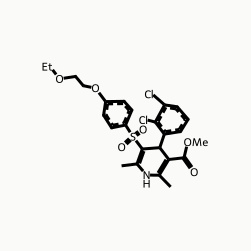 CCOCCOc1ccc(S(=O)(=O)C2=C(C)NC(C)=C(C(=O)OC)C2c2cccc(Cl)c2Cl)cc1